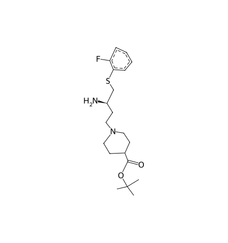 CC(C)(C)OC(=O)C1CCN(CC[C@@H](N)CSc2ccccc2F)CC1